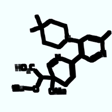 COC1(C(OC(C)(C)C)C(=O)O)C=NC(c2cnc(C)cc2N2CCC(C)(C)CC2)=CC1